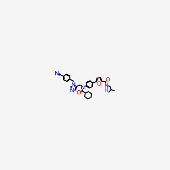 CC(C)CNC(=O)c1ccc(-c2ccc(N(Cc3cncn3Cc3ccc(C#N)cc3)C(=O)C3CCCCC3)cc2)o1